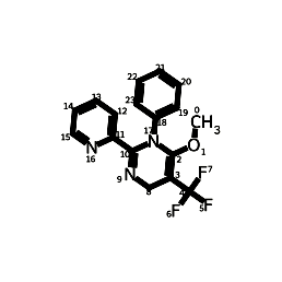 COC1=C(C(F)(F)F)CN=C(c2ccccn2)N1c1ccccc1